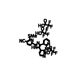 CSc1nc(-c2nc3c([nH]2)-c2ccncc2Nc2ncccc2-3)ccc1C#N.O=C(O)C(F)(F)F.O=C(O)C(F)(F)F.O=C(O)C(F)(F)F